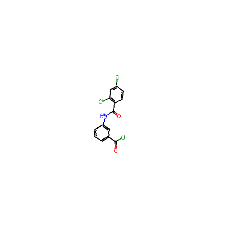 O=C(Cl)c1cccc(NC(=O)c2ccc(Cl)cc2Cl)c1